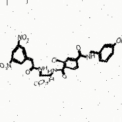 O=C(Cc1cc([N+](=O)[O-])cc([N+](=O)[O-])c1)NC[C@H](NC(=O)c1ccc(C(=O)NCc2cccc(O)c2)cc1Cl)C(=O)O